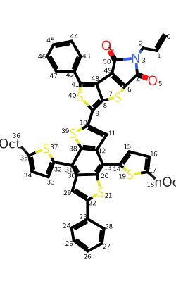 C=CCN1C(=O)c2sc3c(-c4cc5c(-c6ccc(CCCCCCCC)s6)c6sc(-c7ccccc7)cc6c(-c6ccc(CCCCCCCC)s6)c5s4)sc(-c4ccccc4)c3c2C1=O